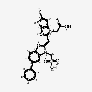 O=C(O)C[n+]1c(/C=C2\Oc3ccc(-c4ccccc4)cc3N2CS(=O)(=O)O)sc2sc(Cl)cc21